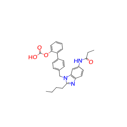 CCCCc1nc2ccc(NC(=O)CC)cc2n1Cc1ccc(-c2ccccc2OC(=O)O)cc1